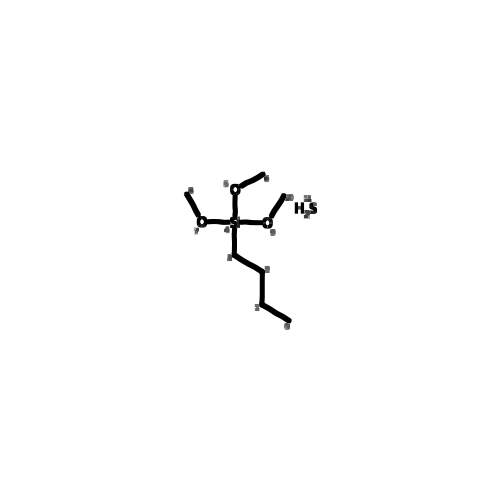 CCCC[Si](OC)(OC)OC.S